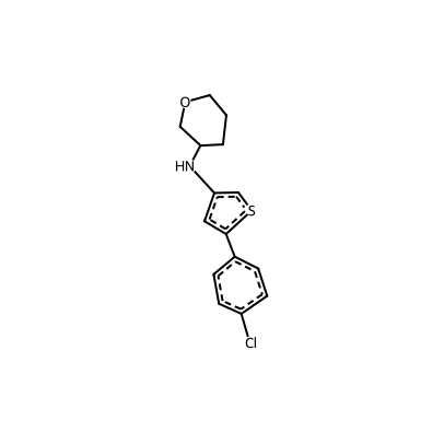 Clc1ccc(-c2cc(NC3CCCOC3)cs2)cc1